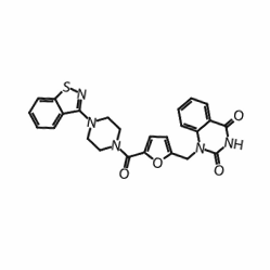 O=C(c1ccc(Cn2c(=O)[nH]c(=O)c3ccccc32)o1)N1CCN(c2nsc3ccccc23)CC1